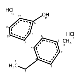 C.CCc1ccccc1.Cl.Cl.Oc1ccccc1